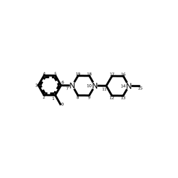 Cc1ccccc1N1CCN(C2CCN(C)CC2)CC1